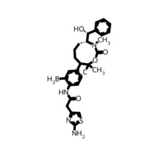 Bc1cc(C2CCC[C@H]([C@H](O)c3ccccc3)N(C)C(=O)OC2(C)C)ccc1NC(=O)Cc1csc(N)n1